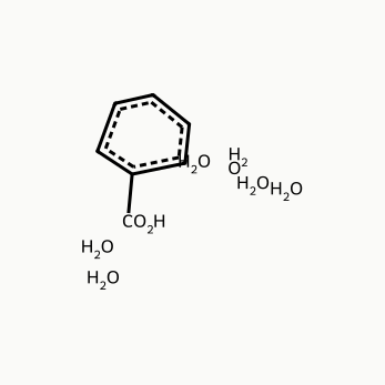 O.O.O.O.O.O.O=C(O)c1ccccc1